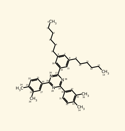 CCCCCCc1cc(CCCCCC)cc(-c2nc(-c3ccc(C)c(C)c3)nc(-c3ccc(C)c(C)c3)n2)c1